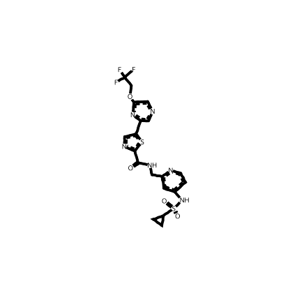 O=C(NCc1cc(NS(=O)(=O)C2CC2)ccn1)c1ncc(-c2cncc(OCC(F)(F)F)n2)s1